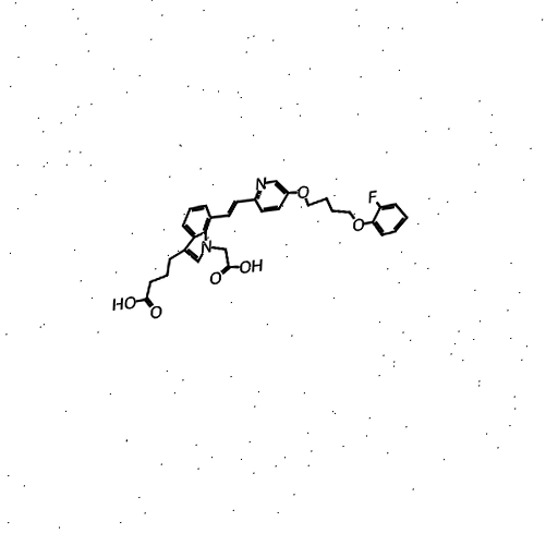 O=C(O)CCCc1cn(CC(=O)O)c2c(/C=C/c3ccc(OCCCCOc4ccccc4F)cn3)cccc12